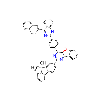 CC1(C)c2ccccc2-c2ccc(-c3nc(-c4ccc(-c5nc(-c6ccc7ccccc7c6)c6ccccc6n5)cc4)c4oc5ccccc5c4n3)cc21